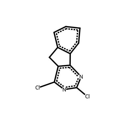 Clc1nc(Cl)c2c(n1)-c1ccccc1C2